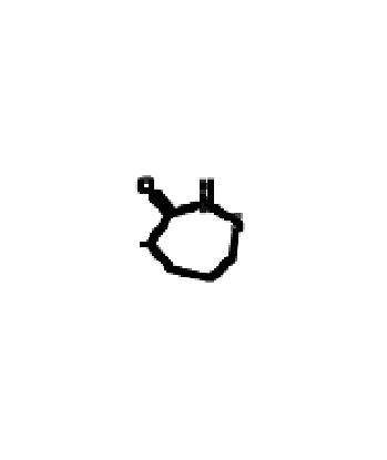 O=C1[CH]CCCSN1